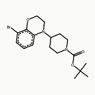 CC(C)(C)OC(=O)N1CCC(N2CCOc3c(Br)cccc32)CC1